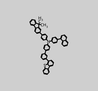 CC1(C)c2ccccc2-c2ccc(-c3ccc(N(c4ccc(-c5cccc(-c6cccc7c6sc6ccccc67)c5)cc4)c4ccc(-c5cccc6ccccc56)cc4)cc3)cc21